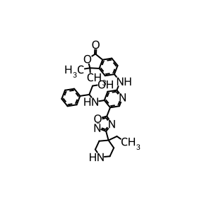 CCC1(c2noc(-c3cnc(Nc4ccc5c(c4)C(C)(C)OC5=O)cc3NC(CO)c3ccccc3)n2)CCNCC1